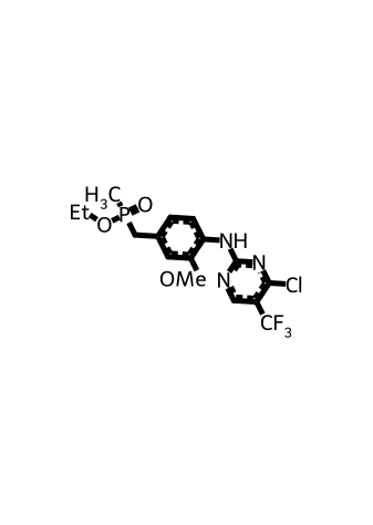 CCOP(C)(=O)Cc1ccc(Nc2ncc(C(F)(F)F)c(Cl)n2)c(OC)c1